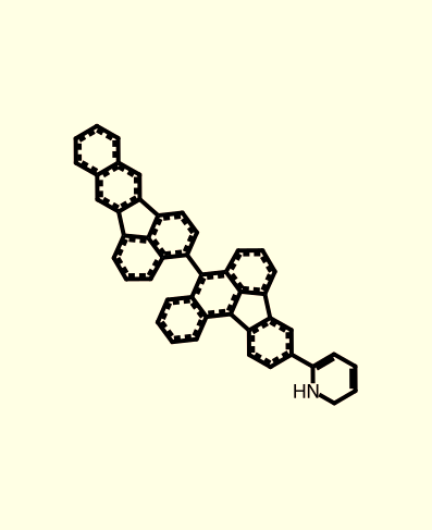 C1=CCNC(c2ccc3c(c2)-c2cccc4c(-c5ccc6c7c(cccc57)-c5cc7ccccc7cc5-6)c5ccccc5c-3c24)=C1